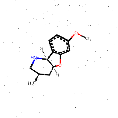 C[C@H]1CN[C@H]2c3ccc(OC(F)(F)F)cc3O[C@H]2C1